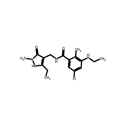 CCNc1cc(Cl)cc(C(=O)NCc2c(CC)[nH]n(C)c2=O)c1C